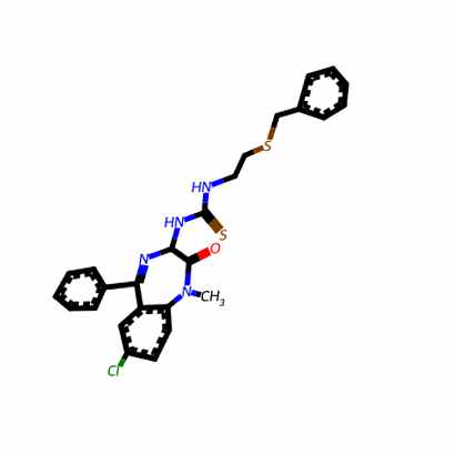 CN1C(=O)C(NC(=S)NCCSCc2ccccc2)N=C(c2ccccc2)c2cc(Cl)ccc21